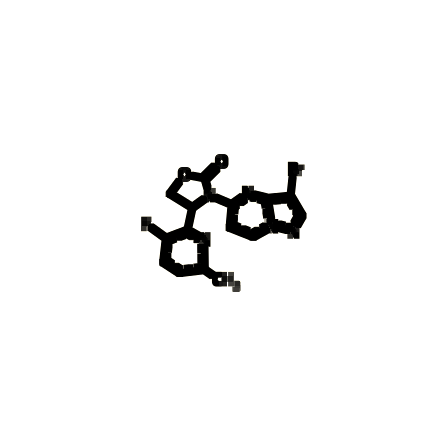 Cc1ccc(F)c(C2COC(=O)N2c2ccn3ncc(Br)c3n2)n1